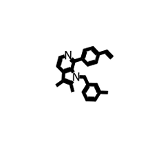 C=Cc1ccc(-c2nccc3c(C)c(C)n(Cc4cccc(C)c4)c23)cc1